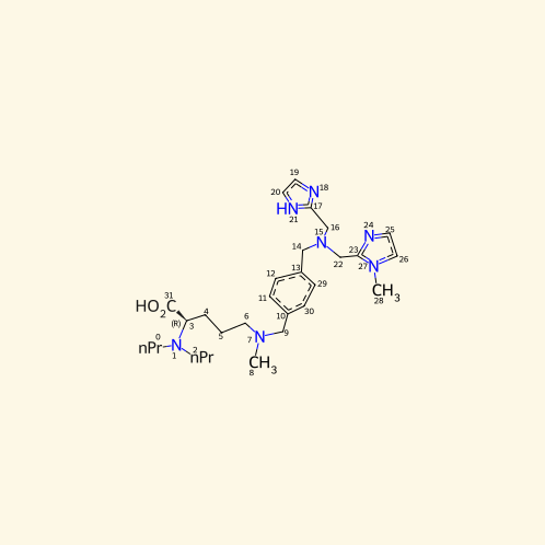 CCCN(CCC)[C@H](CCCN(C)Cc1ccc(CN(Cc2ncc[nH]2)Cc2nccn2C)cc1)C(=O)O